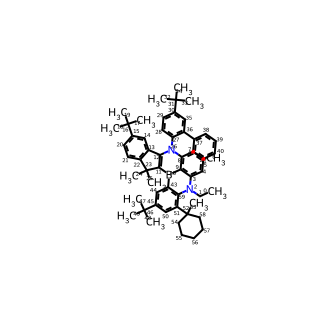 CCN1c2cc(C)cc3c2B(C2=C(c4cc(C(C)(C)C)ccc4C2(C)C)N3c2ccc(C(C)(C)C)cc2-c2ccccc2)c2cc(C(C)(C)C)cc(C3(C)CCCCC3)c21